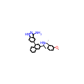 COc1cccc([C@@H](C)NC(C)c2cc(-c3ccc4[nH]nc(N)c4c3)c3ccccc3c2)c1